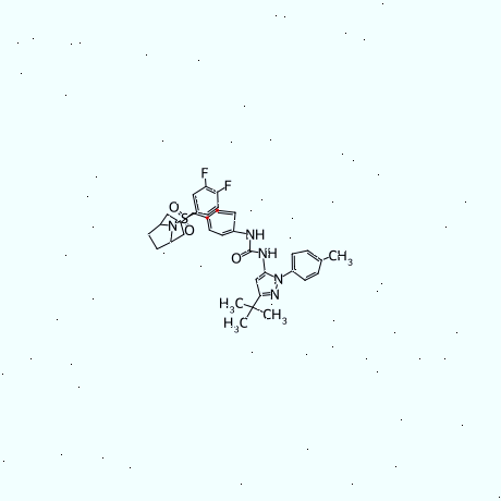 Cc1ccc(-n2nc(C(C)(C)C)cc2NC(=O)Nc2ccc(CC3CC4CCC(C3)N4S(=O)(=O)c3ccc(F)c(F)c3)cc2)cc1